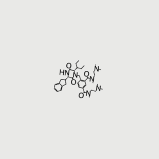 CCC(CC)[C@@H]1C(=O)N[C@H](C2Cc3ccccc3C2)C(=O)N1Cc1ccc(C(=O)N(C)CCN(C)C)cc1C(=O)N(C)CCN(C)C